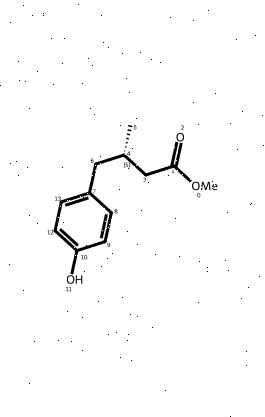 COC(=O)C[C@@H](C)Cc1ccc(O)cc1